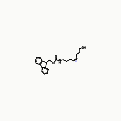 O=C(NCCC/C=C\CCCO)OCC1c2ccccc2-c2ccccc21